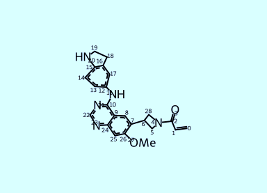 C=CC(=O)N1CC(c2cc3c(Nc4ccc5c(c4)CCN5)ncnc3cc2OC)C1